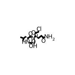 CC(C)C[C@@H](NC(=O)O)C(=O)NN(CCC(N)=O)C(=O)CCl